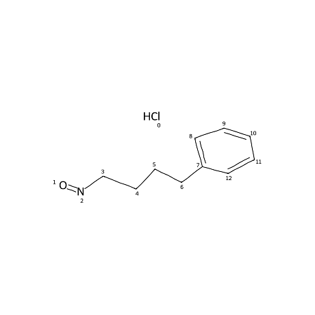 Cl.O=NCCCCc1ccccc1